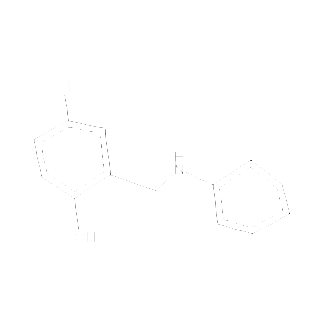 Oc1ccc(Cl)cc1CNc1ccccc1